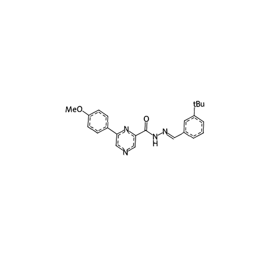 COc1ccc(-c2cncc(C(=O)NN=Cc3cccc(C(C)(C)C)c3)n2)cc1